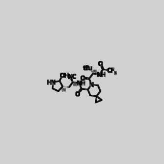 CC(C)(C)[C@H](NC(=O)C(F)(F)F)C(=O)N1CCC2(CC2)CC1C(=O)N[C@H](C#N)C[C@@H]1CCNC1O